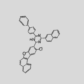 Clc1cc2c(cc1C1N=C(c3ccc4ccccc4c3)N=C(c3ccc(-c4ccccc4)cc3)N1)oc1ccc3ccccc3c12